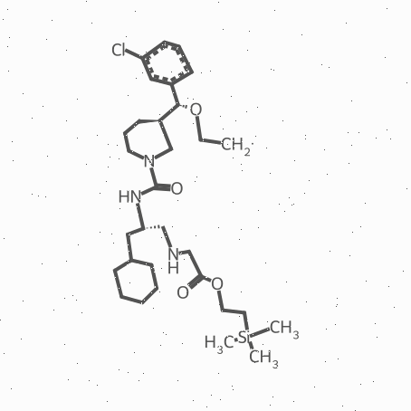 [CH2]CO[C@@H](c1cccc(Cl)c1)[C@@H]1CCCN(C(=O)N[C@H](CNCC(=O)OCC[Si](C)(C)C)CC2CCCCC2)C1